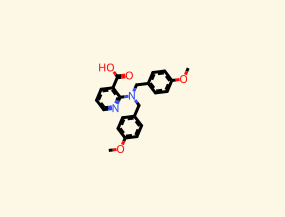 COc1ccc(CN(Cc2ccc(OC)cc2)c2ncccc2C(=O)O)cc1